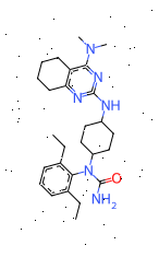 CCc1cccc(CC)c1N(C(N)=O)C1CCC(Nc2nc3c(c(N(C)C)n2)CCCC3)CC1